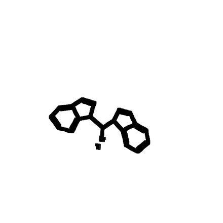 BrC(C1C=Cc2ccccc21)C1C=Cc2ccccc21.[Ti]